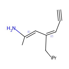 C#C/C=C(\C=C(/C)N)CC(C)C